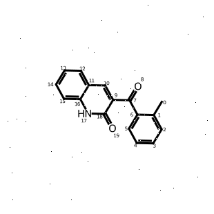 Cc1ccccc1C(=O)c1cc2ccccc2[nH]c1=O